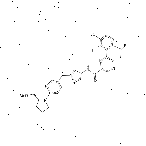 COC[C@@H]1CCCN1c1ccc(Cn2cc(NC(=O)c3cncc(-c4c(C(F)F)ccc(Cl)c4F)n3)cn2)cn1